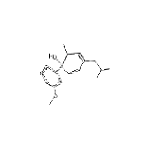 [CH2]C1C=C(CC(C)C)C=CC1(O)c1cncc(OC)c1